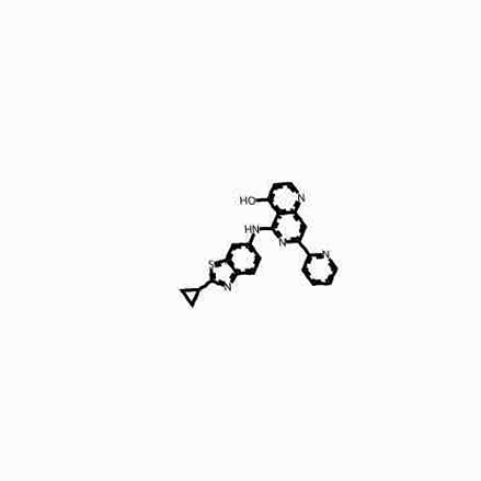 Oc1ccnc2cc(-c3ccccn3)nc(Nc3ccc4nc(C5CC5)sc4c3)c12